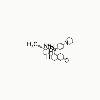 CC#C[C@]1(N)CC[C@H]2[C@@H]3CCC4=CC(=O)CCC4=C3C(c3ccc(N4CCCCC4)cc3)C[C@@]21C